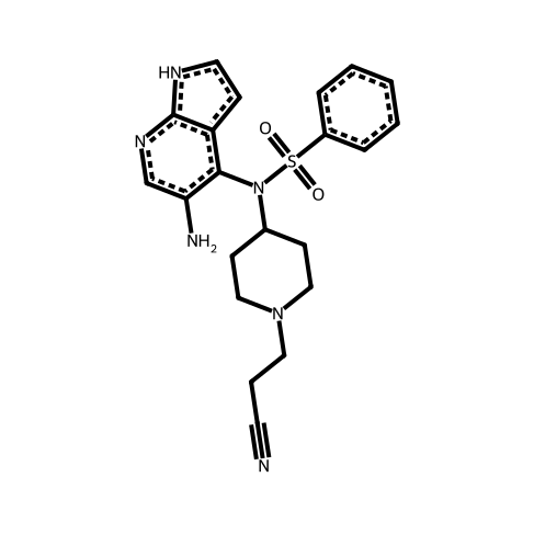 N#CCCN1CCC(N(c2c(N)cnc3[nH]ccc23)S(=O)(=O)c2ccccc2)CC1